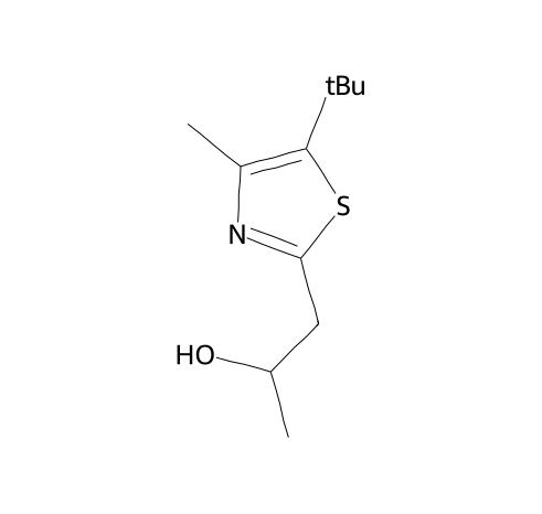 Cc1nc(CC(C)O)sc1C(C)(C)C